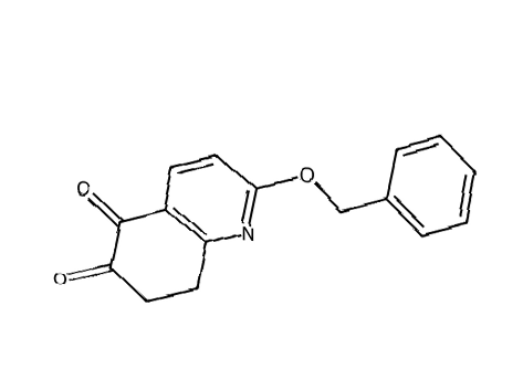 O=C1CCc2nc(OCc3ccccc3)ccc2C1=O